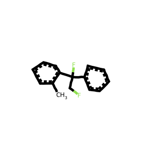 Cc1ccccc1C(F)(CF)c1ccccc1